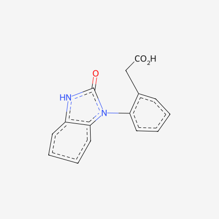 O=C(O)Cc1ccccc1-n1c(=O)[nH]c2ccccc21